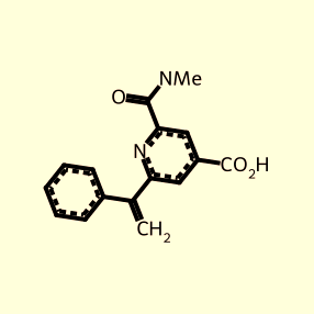 C=C(c1ccccc1)c1cc(C(=O)O)cc(C(=O)NC)n1